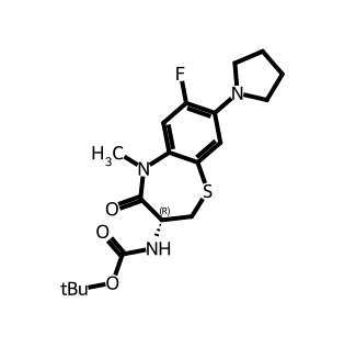 CN1C(=O)[C@@H](NC(=O)OC(C)(C)C)CSc2cc(N3CCCC3)c(F)cc21